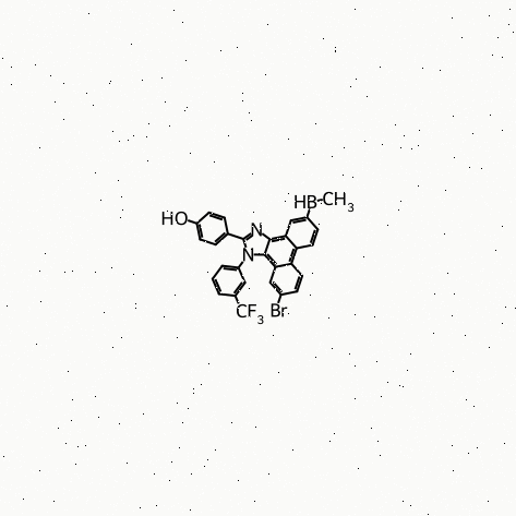 CBc1ccc2c3ccc(Br)cc3c3c(nc(-c4ccc(O)cc4)n3-c3cccc(C(F)(F)F)c3)c2c1